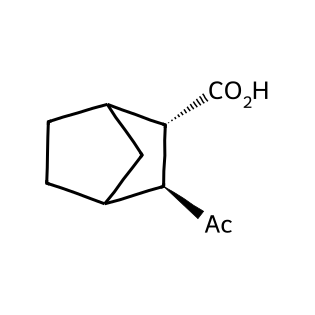 CC(=O)[C@H]1C2CCC(C2)[C@@H]1C(=O)O